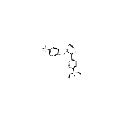 C=CP(=O)(C=C)c1ccc(-c2nccnc2Nc2ccc(S(F)(F)(F)(F)F)cc2)cc1